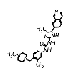 Cc1nc(NC(=O)Nc2ccc(CN3CCN(C)CC3)c(C(F)(F)F)c2)[nH]c1-c1ccc2ccncc2c1